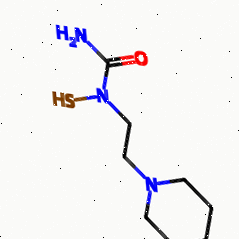 NC(=O)N(S)CCN1CCCCC1